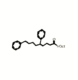 CCCCCCCCC(=O)CCCC(CCCCc1ccccc1)c1ccccc1